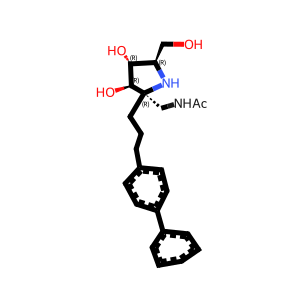 CC(=O)NC[C@@]1(CCCc2ccc(-c3ccccc3)cc2)N[C@H](CO)[C@@H](O)[C@@H]1O